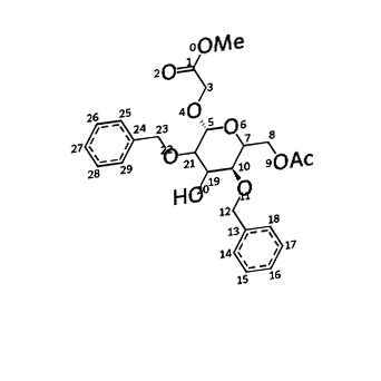 COC(=O)CO[C@@H]1OC(COC(C)=O)[C@@H](OCc2ccccc2)C(O)C1OCc1ccccc1